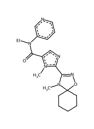 CCN(C(=O)c1cnc(C2=NOC3(CCCCC3)N2C)n1C)c1cccnc1